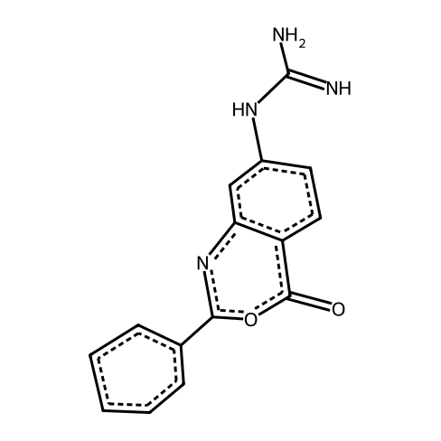 N=C(N)Nc1ccc2c(=O)oc(-c3ccccc3)nc2c1